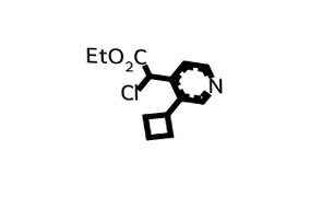 CCOC(=O)C(Cl)c1ccncc1C1CCC1